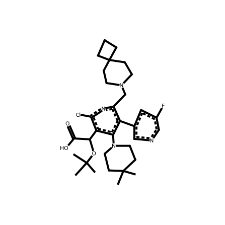 CC1(C)CCN(c2c(-c3cncc(F)c3)c(CN3CCC4(CCC4)CC3)nc(Cl)c2C(OC(C)(C)C)C(=O)O)CC1